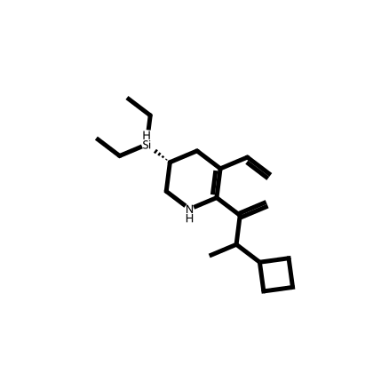 C=CC1=C(C(=C)C(C)C2CCC2)NC[C@H]([SiH](CC)CC)C1